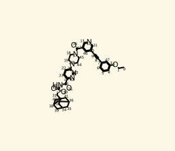 CCOc1cccc(C#Cc2cncc(C(=O)N3CCN(c4ccc(C(=O)NS(=O)(=O)CC56CC7CC(CC(C7)C5)C6)nn4)CC3)c2)c1